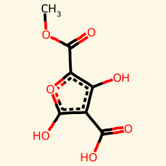 COC(=O)c1oc(O)c(C(=O)O)c1O